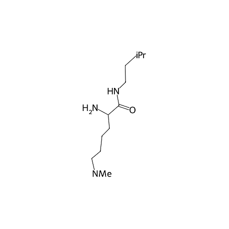 CNCCCCC(N)C(=O)NCCC(C)C